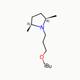 CCC(C)OCCCN1[C@H](C)CC[C@@H]1C